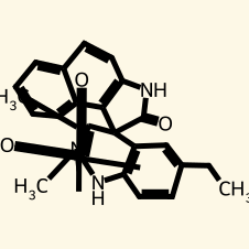 CCc1ccc2c(c1)C1(C(=O)Nc3ccc4ccccc4c31)c1c(n(C)c(=O)n(C)c1=O)N2